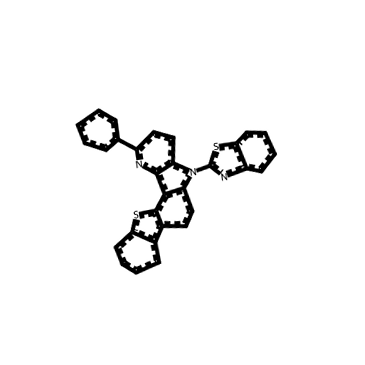 c1ccc(-c2ccc3c(n2)c2c4sc5ccccc5c4ccc2n3-c2nc3ccccc3s2)cc1